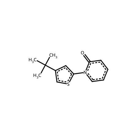 CC(C)(C)c1csc(-n2ccccc2=O)c1